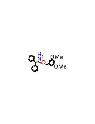 COc1cc(COCC(N)C(c2ccccc2)c2ccccc2)cc(OC)c1